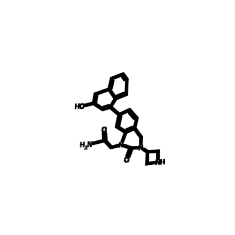 NC(=O)CN1C(=O)N(C2CNC2)Cc2ccc(-c3cc(O)cc4ccccc34)cc21